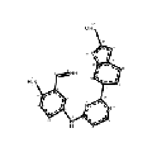 N=Cc1cc(Nc2ccnc(-c3ccc4cc(C=O)sc4c3)n2)ccc1N